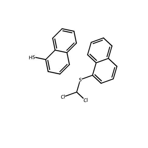 ClC(Cl)Sc1cccc2ccccc12.Sc1cccc2ccccc12